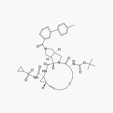 Cc1ccc(-c2cccc(C(=O)N3C[C@H]4CN5C(=O)[C@H](NC(=O)OC(C)(C)C)CCCCC/C=C\[C@@H]6C[C@@]6(C(=O)NS(=O)(=O)C6CC6)NC(=O)[C@@H]5[C@H]4C3)c2)cc1